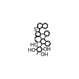 Cc1c(O)c(O)c(-c2c3c(c(-c4ccccc4-c4cccc5sc6ccc7ccccc7c6c45)c4ccccc24)CC=CC=C3)c(O)c1O